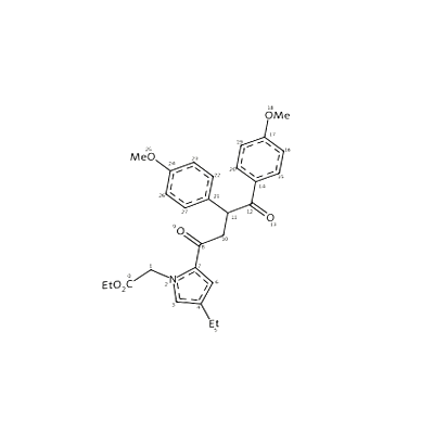 CCOC(=O)Cn1cc(CC)cc1C(=O)CC(C(=O)c1ccc(OC)cc1)c1ccc(OC)cc1